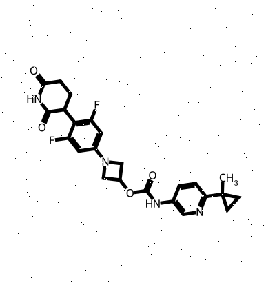 CC1(c2ccc(NC(=O)OC3CN(c4cc(F)c(C5CCC(=O)NC5=O)c(F)c4)C3)cn2)CC1